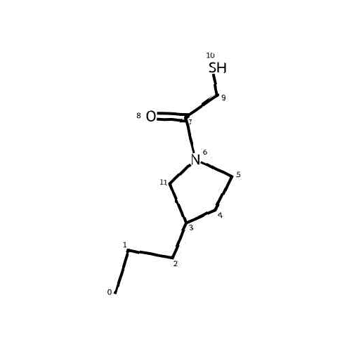 CCCC1CCN(C(=O)CS)C1